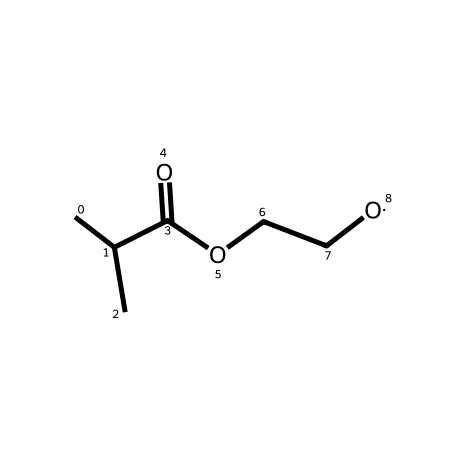 CC(C)C(=O)OCC[O]